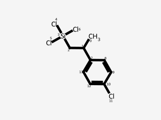 CC(C[Si](Cl)(Cl)Cl)c1ccc(Cl)cc1